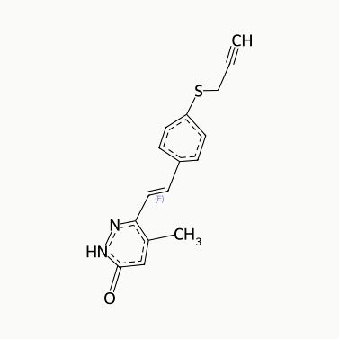 C#CCSc1ccc(/C=C/c2n[nH]c(=O)cc2C)cc1